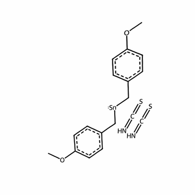 COc1ccc([CH2][Sn][CH2]c2ccc(OC)cc2)cc1.N=C=S.N=C=S